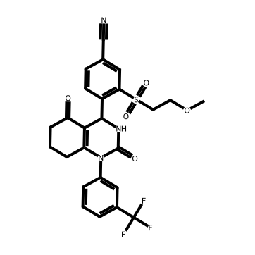 COCCS(=O)(=O)c1cc(C#N)ccc1C1NC(=O)N(c2cccc(C(F)(F)F)c2)C2=C1C(=O)CCC2